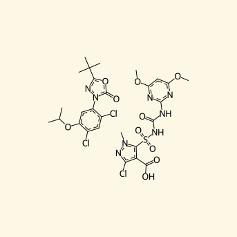 CC(C)Oc1cc(-n2nc(C(C)(C)C)oc2=O)c(Cl)cc1Cl.COc1cc(OC)nc(NC(=O)NS(=O)(=O)c2c(C(=O)O)c(Cl)nn2C)n1